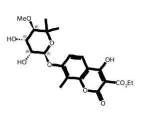 CCOC(=O)c1c(O)c2ccc(O[C@@H]3OC(C)(C)[C@H](OC)[C@@H](O)[C@H]3O)c(C)c2oc1=O